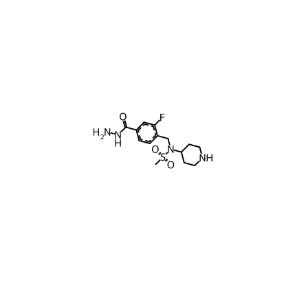 CS(=O)(=O)N(Cc1ccc(C(=O)NN)cc1F)C1CCNCC1